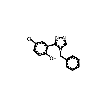 Oc1ccc(Cl)cc1-c1nncn1Cc1ccccc1